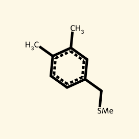 CSCc1ccc(C)c(C)c1